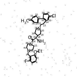 CCOc1cccc(F)c1CN1CCN(C(=O)[C@H](N)C2CCN(CCc3cc(Cl)ccc3-c3ccc(C)cc3)CC2)CC1